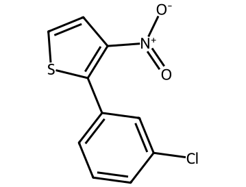 O=[N+]([O-])c1ccsc1-c1cccc(Cl)c1